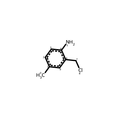 Cc1ccc(N)c(CCl)c1